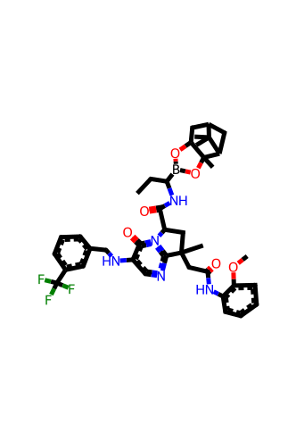 CCC(NC(=O)C1CC(C)(CC(=O)Nc2ccccc2OC)c2ncc(NCc3cccc(C(F)(F)F)c3)c(=O)n21)B1OC2CC3CC(C3(C)C)C2(C)O1